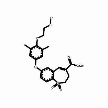 CCOCCOc1c(C)cc(Oc2ccc3c(c2)C=C(C(=O)OC)CCS3(=O)=O)cc1C